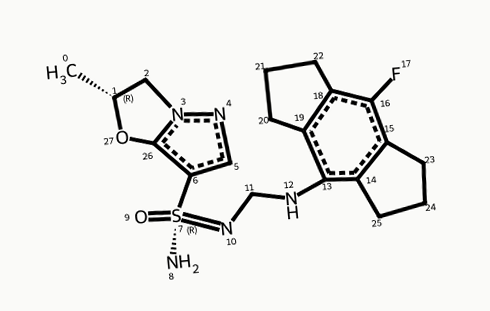 C[C@@H]1Cn2ncc([S@](N)(=O)=NCNc3c4c(c(F)c5c3CCC5)CCC4)c2O1